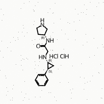 Cl.Cl.O=C(CN[C@@H]1C[C@H]1c1ccccc1)N[C@@H]1CCNC1